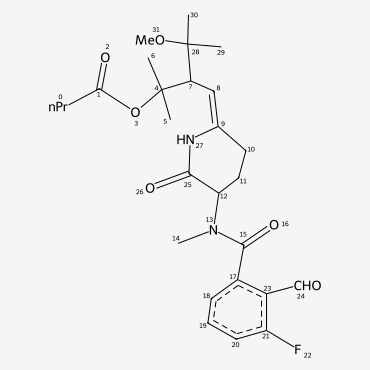 CCCC(=O)OC(C)(C)C(/C=C1/CCC(N(C)C(=O)c2cccc(F)c2C=O)C(=O)N1)C(C)(C)OC